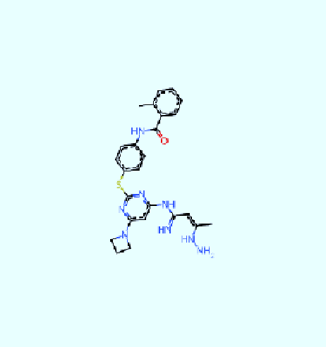 C/C(=C/C(=N)Nc1cc(N2CCC2)nc(Sc2ccc(NC(=O)c3ccccc3C)cc2)n1)NN